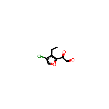 CCc1c(Cl)coc1C(=O)C=O